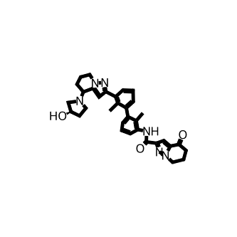 Cc1c(NC(=O)c2cc3n(n2)CCCC3=O)cccc1-c1cccc(-c2cc3n(n2)CCCC3N2CC[C@@H](O)C2)c1C